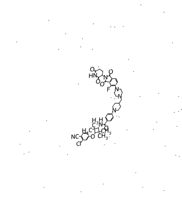 CC1(C)[C@H](NC(=O)c2ccc(N3CCC(CN4CCN(c5ccc6c(c5F)C(=O)N(C5CCC(=O)NC5=O)C6=O)CC4)CC3)cc2)C(C)(C)[C@H]1Oc1ccc(C#N)c(Cl)c1